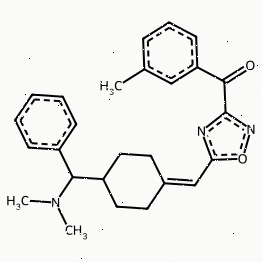 Cc1cccc(C(=O)c2noc(C=C3CCC(C(c4ccccc4)N(C)C)CC3)n2)c1